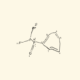 O=[PH](c1ccccc1)C(F)F